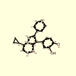 Oc1cc(-c2c(-c3ccncc3)nn3c(C4CC4)cnnc23)ccc1Cl